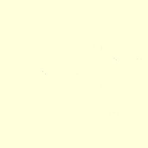 Cc1nc2c(C(=O)OC(=O)c3c(C(=O)O)ccc4oc(C)nc34)c(C(=O)O)ccc2o1